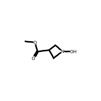 COC(=O)C1CN(O)C1